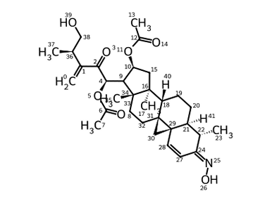 C=C(C(=O)[C@H](OC(C)=O)C1[C@@H](OC(C)=O)C[C@@]2(C)[C@@H]3CC[C@H]4[C@H](C)/C(=N/O)C=C[C@@]45C[C@@]35CC[C@]12C)[C@@H](C)CO